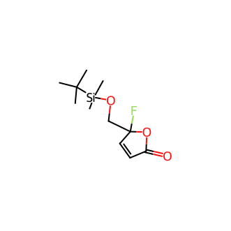 CC(C)(C)[Si](C)(C)OCC1(F)C=CC(=O)O1